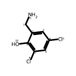 NCc1cc(Cl)cc(Cl)c1O